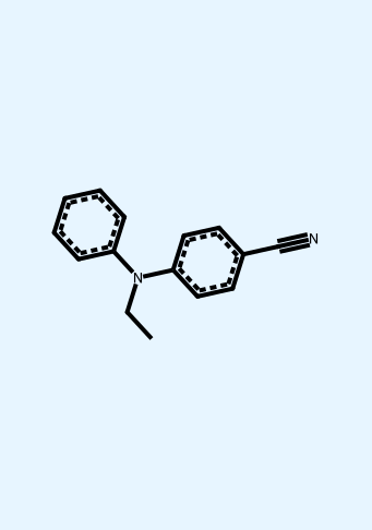 CCN(c1ccccc1)c1ccc(C#N)cc1